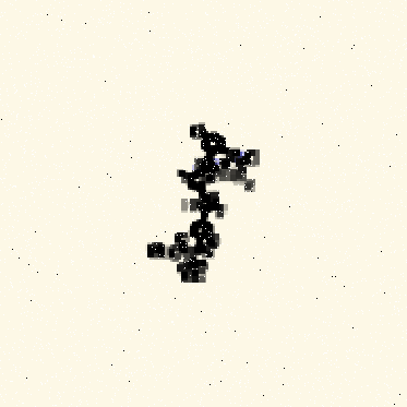 C[C@@H]1CC(c2nc(F)c(-c3ccc4c(N(C(=O)OC(C)(C)C)C(=O)OC(C)(C)C)noc4c3)[nH]2)N(C)/C1=N\C(=C/C=O)c1cc(Cl)ccc1N(N)/C=C(\N)Cl